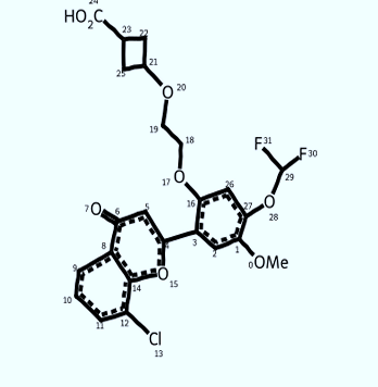 COc1cc(-c2cc(=O)c3cccc(Cl)c3o2)c(OCCOC2CC(C(=O)O)C2)cc1OC(F)F